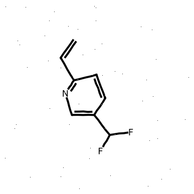 C=Cc1ccc(C(F)F)cn1